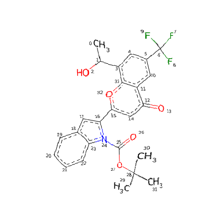 CC(O)c1cc(C(F)(F)F)cc2c(=O)cc(-c3cc4ccccc4n3C(=O)OC(C)(C)C)oc12